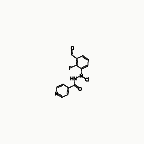 O=Cc1cccc(N(Cl)NC(=O)c2ccncc2)c1F